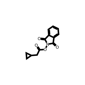 O=C(CC1CC1)ON1C(=O)c2ccccc2C1=O